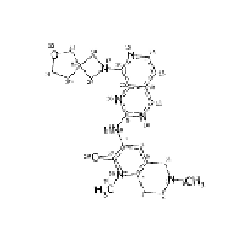 CN1CCc2c(cc(Nc3ncc4ccnc(N5CC6(CCOC6)C5)c4n3)c(=O)n2C)C1